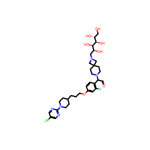 O=CC(c1ccc(OCCCC2CCN(c3ncc(Cl)cn3)CC2)cc1F)N1CCC2(CC1)CN(C[C@H](O)[C@@H](O)[C@H](O)[C@H](O)CO)C2